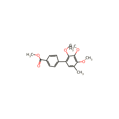 COC(=O)c1ccc(-c2cc(C)c(OC)c(OC)c2OC)cc1